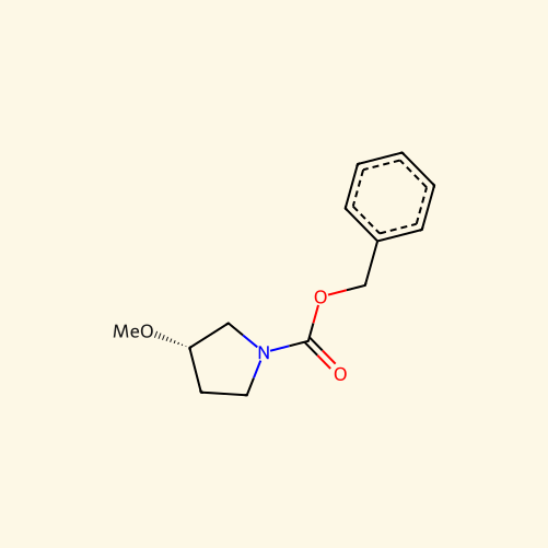 CO[C@H]1CCN(C(=O)OCc2ccccc2)C1